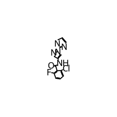 O=C(Nc1cnn(-c2ncccn2)c1)c1c(F)cccc1Cl